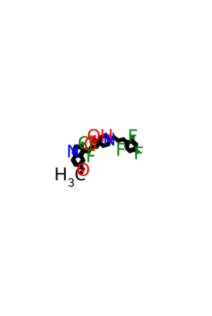 COc1ccc2ncc(Cl)c([C@@H](F)CCC3(C(=O)O)CCN(CCCc4c(F)cc(F)cc4F)CC3)c2c1